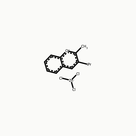 Cc1[o+]c2ccccc2cc1C(C)C.[Cl][Zn-]([Cl])[Cl]